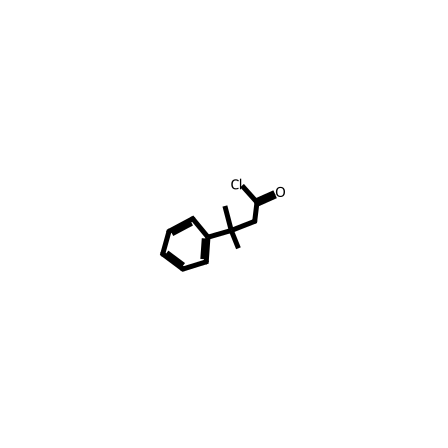 CC(C)(CC(=O)Cl)c1ccccc1